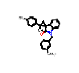 CC1(c2ccc(C#N)cc2)CC12C(=O)N(Cc1cccc(C(=O)O)c1)c1ccccc12